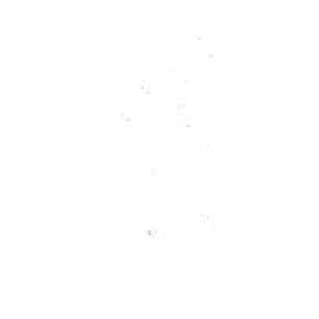 COc1cc(S(=O)(=O)c2ccc3c(c2)nc(C(C)(C)C)n3CC2CCC(C)(F)CC2)ccn1